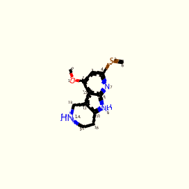 COc1cc(SC)nc2[nH]c3c(c12)CNCC3